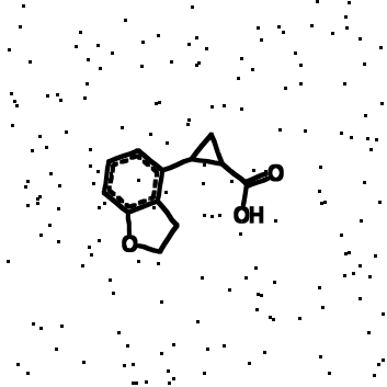 O=C(O)C1CC1c1cccc2c1CCO2